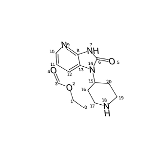 CCOC=O.O=c1[nH]c2ncccc2n1C1CCNCC1